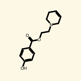 O=C(OCCN1CC=CCC1)c1ccc(O)cc1